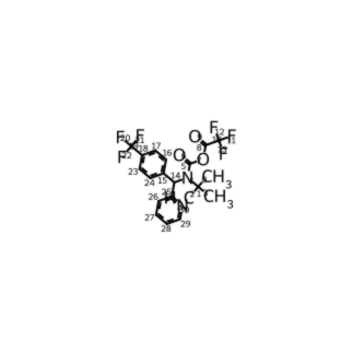 CC(C)(C)N(C(=O)OC(=O)C(F)(F)F)C(c1ccc(C(F)(F)F)cc1)c1ccccn1